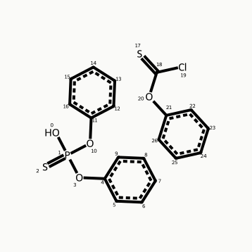 OP(=S)(Oc1ccccc1)Oc1ccccc1.S=C(Cl)Oc1ccccc1